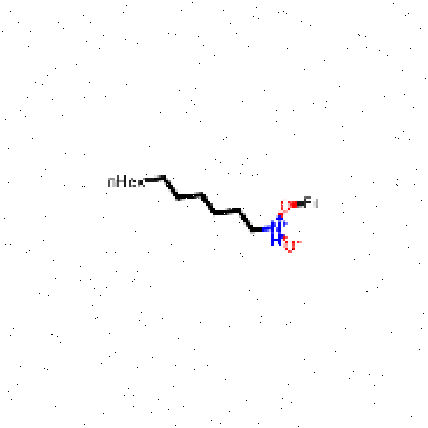 CCCCCCCCCCCC[NH+]([O-])OCC